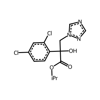 CC(C)OC(=O)C(O)(Cn1cncn1)c1ccc(Cl)cc1Cl